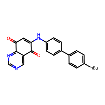 CCCCc1ccc(-c2ccc(NC3=CC(=O)c4ncncc4C3=O)cc2)cc1